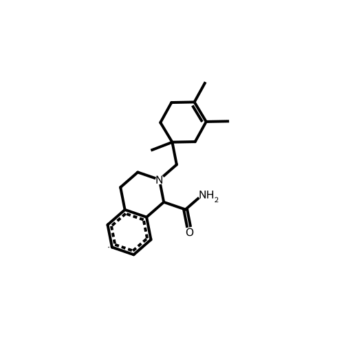 CC1=C(C)CC(C)(CN2CCc3c[c]ccc3C2C(N)=O)CC1